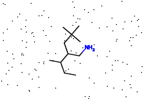 CCC(C)C(CN)CC(C)(C)C